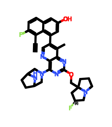 C#Cc1c(F)ccc2cc(O)cc(-c3cnc4c(N5CC6CCC(C5)N6)nc(OCC56CCCN5C[C@H](F)C6)nc4c3C)c12